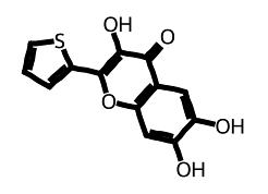 O=c1c(O)c(-c2cccs2)oc2cc(O)c(O)cc12